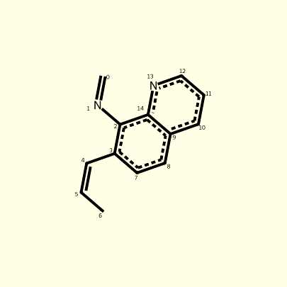 C=Nc1c(/C=C\C)ccc2cccnc12